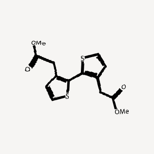 COC(=O)Cc1ccsc1-c1sccc1CC(=O)OC